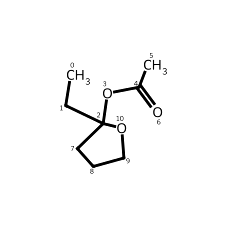 CCC1(OC(C)=O)CCCO1